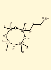 C[Si]1(C)O[Si](C)(C)O[Si](C)(CCCS)O[Si](C)(C)O1